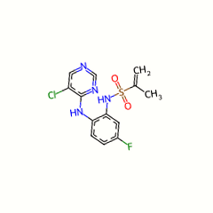 C=C(C)S(=O)(=O)Nc1cc(F)ccc1Nc1ncncc1Cl